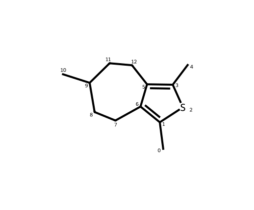 Cc1sc(C)c2c1CCC(C)CC2